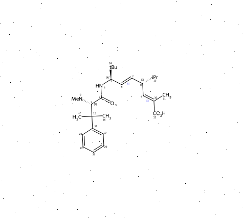 CN[C@H](C(=O)N[C@H](/C=C/[C@@H](/C=C(\C)C(=O)O)C(C)C)C(C)(C)C)C(C)(C)c1ccccc1